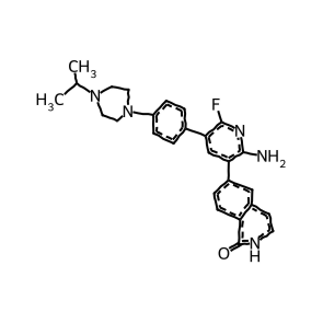 CC(C)N1CCN(c2ccc(-c3cc(-c4ccc5c(=O)[nH]ccc5c4)c(N)nc3F)cc2)CC1